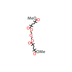 COC(=O)C(C)(C)CCC(C)(C)C(=O)OCCOCCOC(=O)C(C)(C)CCC(C)(C)C(=O)OC